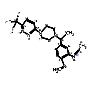 C=Nc1ccc(C(C)N2CCN(c3ccc(C(F)(F)F)nn3)CC2)cc1/N=C\C